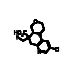 O=C(O)C1(CF)Cc2ncc(Cl)cc2N2CCOCC21